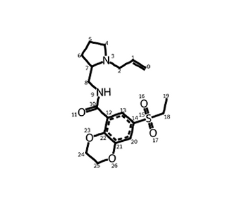 C=CCN1CCCC1CNC(=O)c1cc(S(=O)(=O)CC)cc2c1OCCO2